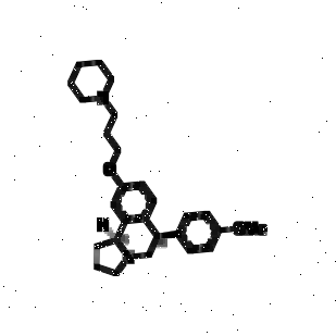 COc1ccc([C@H]2CN3CCC[C@H]3c3cc(OCCCN4CCCCC4)ccc32)cc1